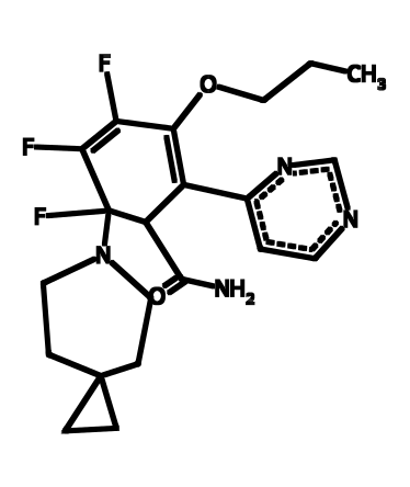 CCCOC1=C(c2ccncn2)C(C(N)=O)C(F)(N2CCC3(CC2)CC3)C(F)=C1F